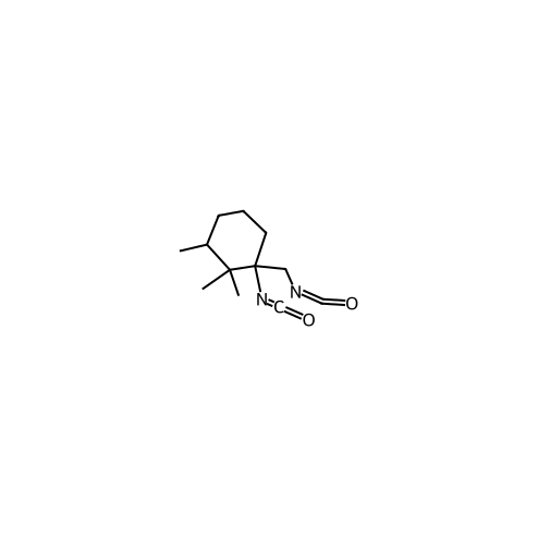 CC1CCCC(CN=C=O)(N=C=O)C1(C)C